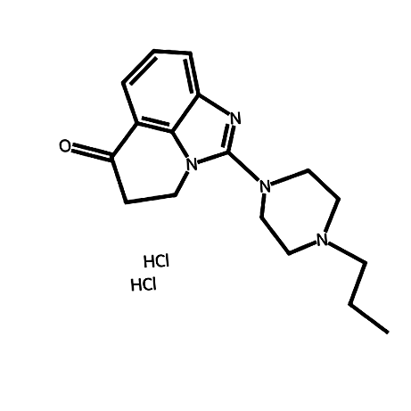 CCCN1CCN(c2nc3cccc4c3n2CCC4=O)CC1.Cl.Cl